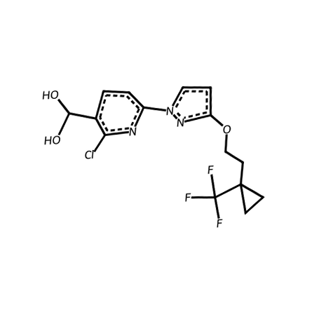 OC(O)c1ccc(-n2ccc(OCCC3(C(F)(F)F)CC3)n2)nc1Cl